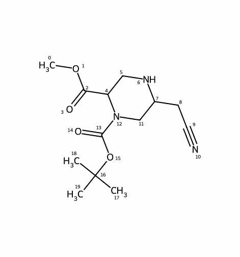 COC(=O)C1CNC(CC#N)CN1C(=O)OC(C)(C)C